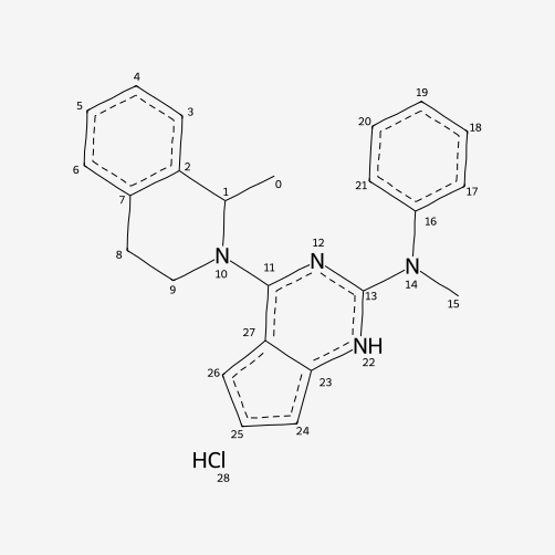 CC1c2ccccc2CCN1c1nc(N(C)c2ccccc2)[nH]c2cccc1-2.Cl